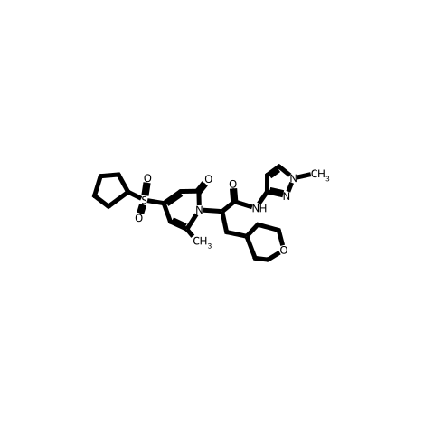 Cc1cc(S(=O)(=O)C2CCCC2)cc(=O)n1C(CC1CCOCC1)C(=O)Nc1ccn(C)n1